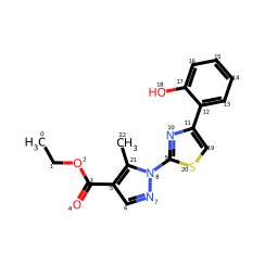 CCOC(=O)c1cnn(-c2nc(-c3ccccc3O)cs2)c1C